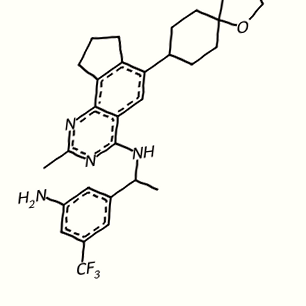 Cc1nc(NC(C)c2cc(N)cc(C(F)(F)F)c2)c2cc(C3CCC4(CC3)OCCO4)c3c(c2n1)CCC3